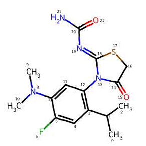 CC(C)c1cc(F)c(N(C)C)cc1N1C(=O)CSC1=NC(N)=O